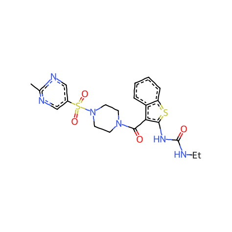 CCNC(=O)Nc1sc2ccccc2c1C(=O)N1CCN(S(=O)(=O)c2cnc(C)nc2)CC1